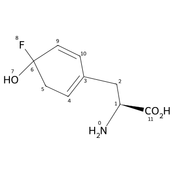 N[C@@H](CC1=CCC(O)(F)C=C1)C(=O)O